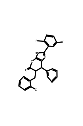 O=C1Oc2[nH]c(-c3cc(F)ccc3F)nc2C(c2ccccc2)C1Cc1ccccc1Cl